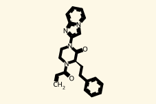 C=CC(=O)N1CCN(c2cn3ccccc3n2)C(=O)[C@H]1CCc1ccccc1